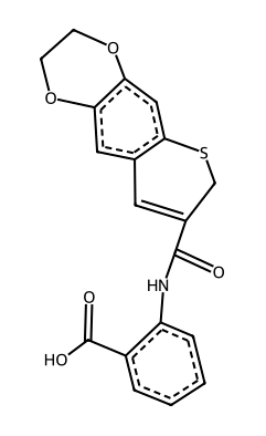 O=C(Nc1ccccc1C(=O)O)C1=Cc2cc3c(cc2SC1)OCCO3